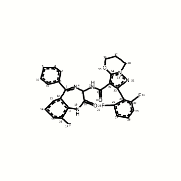 O=C(NC1N=C(c2ccccc2)c2cccc(F)c2NC1=O)c1c(-c2c(F)cccc2F)nn2c1OCCC2